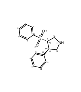 O=S(=O)(c1ccccc1)[C@@H]1CNC[C@H]1c1ccccc1